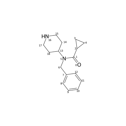 O=C(C1CC1)N(Cc1ccccc1)C1CCNCC1